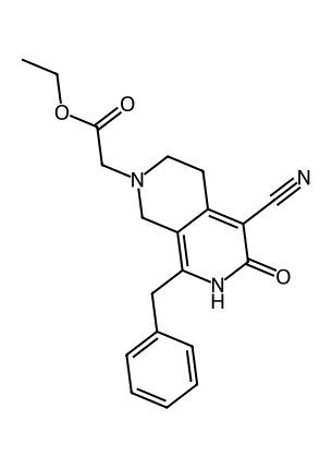 CCOC(=O)CN1CCc2c(c(Cc3ccccc3)[nH]c(=O)c2C#N)C1